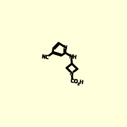 N#Cc1ccnc(NC2CN(C(=O)O)C2)c1